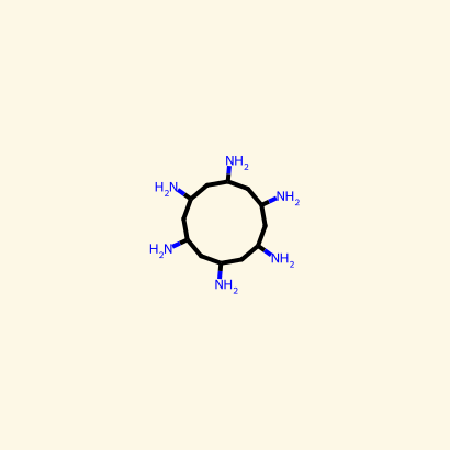 NC1CC(N)CC(N)CC(N)CC(N)CC(N)C1